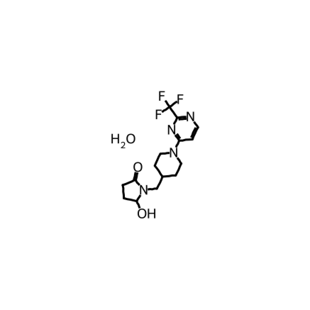 O.O=C1CCC(O)N1CC1CCN(c2ccnc(C(F)(F)F)n2)CC1